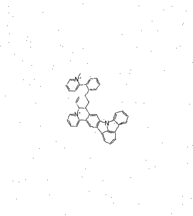 C=CC1C(CCc2ccccc2-c2cccc[n+]2C)c2cc3c(cc2-c2cccc[n+]21)c1cccc2c4ccccc4n3c21